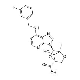 O=C(O)[C@@]12CO[C@@H](C1O)[C@H](n1cnc3c(NCc4cccc(I)c4)ncnc31)O2